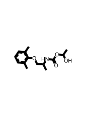 Cc1cccc(C)c1OCC(C)NC(=O)OC(C)O